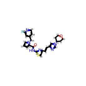 O=C(Nc1nc(/C=C/c2cn(C3CCOCC3)cn2)cs1)c1cccn1Cc1ccnc(F)c1